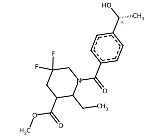 CCC1C(C(=O)OC)CC(F)(F)CN1C(=O)c1ccc([C@@H](C)O)cc1